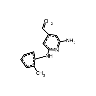 C=Cc1cc(N)nc(Nc2ccccc2C)c1